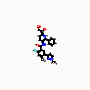 Cn1ccc(-c2cc(C(=O)Nc3ccc([C@H](O)CO)nc3-c3ccccc3)c(F)cc2C(F)(F)F)n1